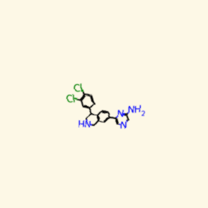 Nc1cncc(-c2ccc3c(c2)CNCC3c2ccc(Cl)c(Cl)c2)n1